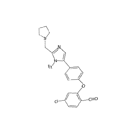 CCn1c(-c2ccc(Oc3cc(Cl)ccc3C=O)cc2)cnc1CN1CCCC1